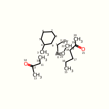 CC(=O)CC(C)C.CC1CCCCC1.CCC(C)=O.CCCCC(C)=O.COC(C)=O